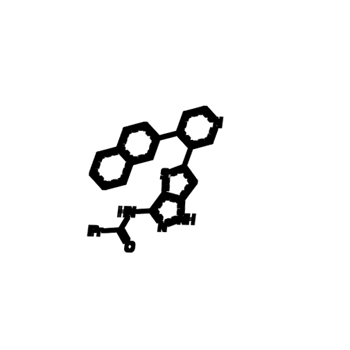 CC(C)C(=O)Nc1n[nH]c2cc(-c3cnccc3-c3ccc4ccccc4c3)sc12